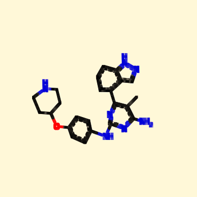 Cc1c(N)nc(Nc2ccc(OC3CCNCC3)cc2)nc1-c1cccc2[nH]ncc12